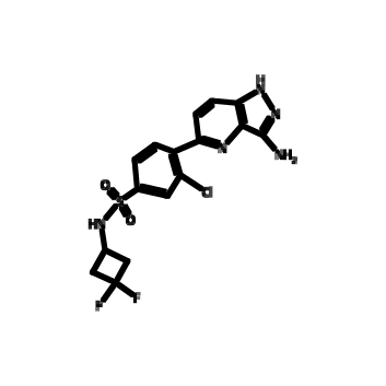 Nc1n[nH]c2ccc(-c3ccc(S(=O)(=O)NC4CC(F)(F)C4)cc3Cl)nc12